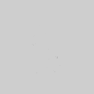 CN1C(=O)NC2(CC(NC(=O)OC(C)(C)C)C2)C1=O